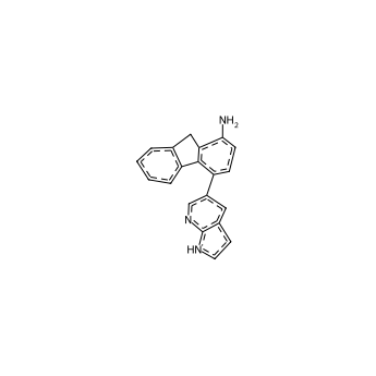 Nc1ccc(-c2cnc3[nH]ccc3c2)c2c1Cc1ccccc1-2